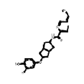 C\C=C(/N=C\C=C/CCC)C(=O)NC1CC2CC(Oc3ccc(C#N)c(Cl)c3)CC2C1